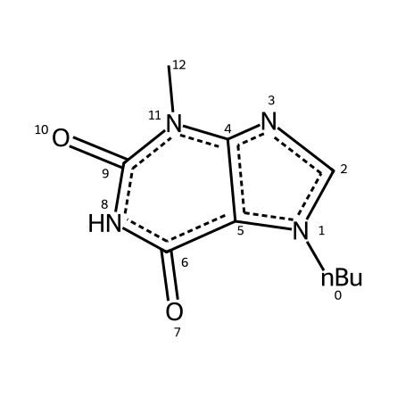 CCCCn1cnc2c1c(=O)[nH]c(=O)n2C